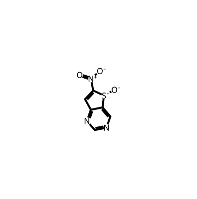 O=[N+]([O-])c1cc2ncncc2[s+]1[O-]